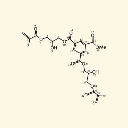 C=C(C)C(=O)OCC(O)COC(=O)c1cc(C(=O)OC)cc(C(=O)OCC(O)COC(=O)C(=C)C)c1